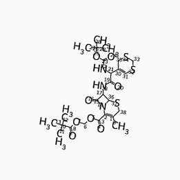 CC1=C(C(=O)OCOC(=O)C(C)(C)C)N2C(=O)C(NC(=O)C(NC(=O)OC(C)(C)C)C3=CSCSC3)C2SC1